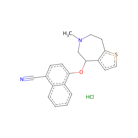 CN1CCc2sccc2C(Oc2ccc(C#N)c3ccccc23)C1.Cl